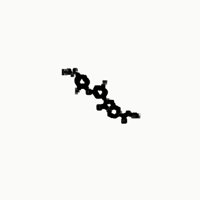 CC(C)(C)OC(=O)N1CCN2C(=O)N(c3cc(F)cc(Oc4ccc(C(=O)O)cc4F)c3)CC2C1